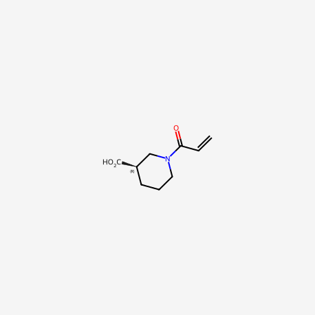 C=CC(=O)N1CCC[C@@H](C(=O)O)C1